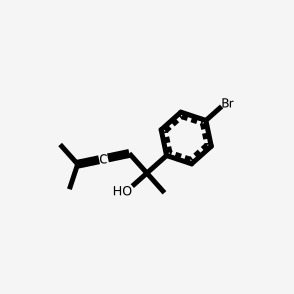 CC(C)=C=CC(C)(O)c1ccc(Br)cc1